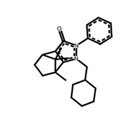 CC12CCC(c3c1n(CC1CCCCC1)n(-c1ccccc1)c3=O)C2(C)C